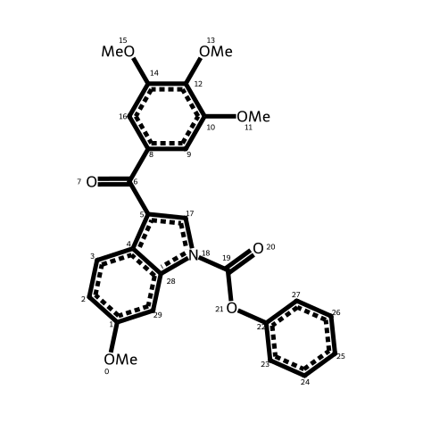 COc1ccc2c(C(=O)c3cc(OC)c(OC)c(OC)c3)cn(C(=O)Oc3ccccc3)c2c1